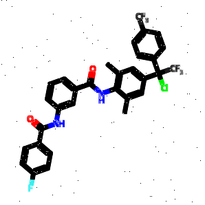 Cc1cc(C(Cl)(c2ccc(C(F)(F)F)cc2)C(F)(F)F)cc(C)c1NC(=O)c1cccc(NC(=O)c2ccc(F)cc2)c1